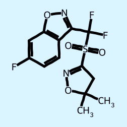 CC1(C)CC(S(=O)(=O)C(F)(F)c2noc3cc(F)ccc23)=NO1